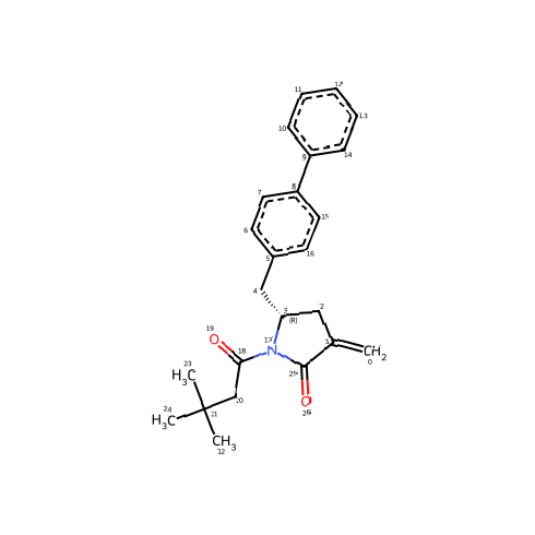 C=C1C[C@@H](Cc2ccc(-c3ccccc3)cc2)N(C(=O)CC(C)(C)C)C1=O